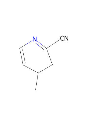 CC1C=CN=C(C#N)C1